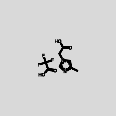 Cc1cn(CC(=O)O)cn1.O=C(O)C(F)(F)F